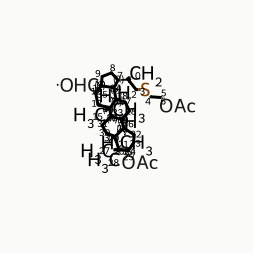 C=C(CSCCOC(C)=O)[C@@H]1CC[C@]2([C]=O)CC[C@]3(C)[C@H](CC[C@@H]4[C@@]5(C)CC[C@H](OC(C)=O)C(C)(C)[C@@H]5CC[C@]43C)[C@@H]12